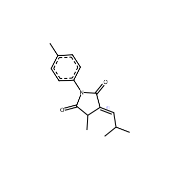 Cc1ccc(N2C(=O)/C(=C/C(C)C)C(C)C2=O)cc1